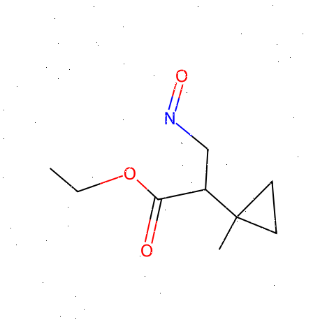 CCOC(=O)C(CN=O)C1(C)CC1